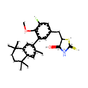 COc1c(F)cc(CC2SC(=S)NC2=O)cc1-c1cc2c(cc1C)C(C)(C)CCC2(C)C